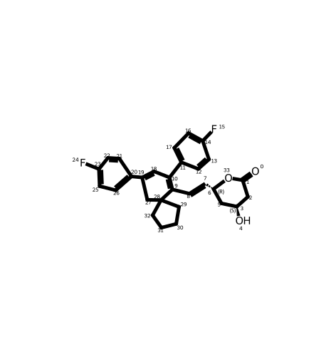 O=C1C[C@@H](O)C[C@H](C=CC2=C(c3ccc(F)cc3)C=C(c3ccc(F)cc3)CC23CCCC3)O1